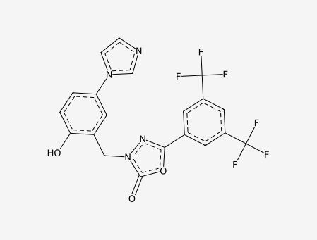 O=c1oc(-c2cc(C(F)(F)F)cc(C(F)(F)F)c2)nn1Cc1cc(-n2ccnc2)ccc1O